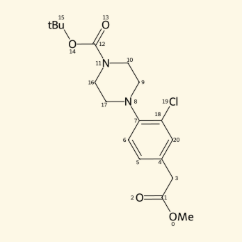 COC(=O)Cc1ccc(N2CCN(C(=O)OC(C)(C)C)CC2)c(Cl)c1